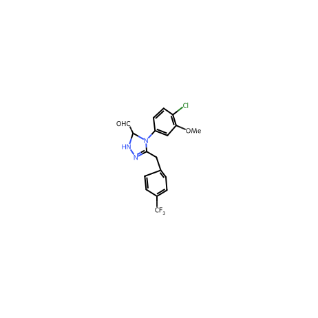 COc1cc(N2C(Cc3ccc(C(F)(F)F)cc3)=NNC2C=O)ccc1Cl